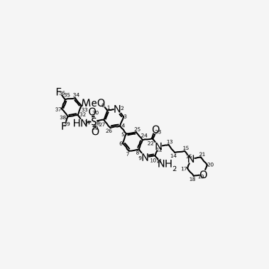 COc1ncc(-c2ccc3nc(N)n(CCCN4CCOCC4)c(=O)c3c2)cc1S(=O)(=O)Nc1ccc(F)cc1F